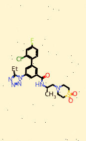 CCc1nnnn1-c1cc(C(=O)N[C@H](C)CN2CCS(=O)(=O)CC2)cc(-c2ccc(F)cc2Cl)c1